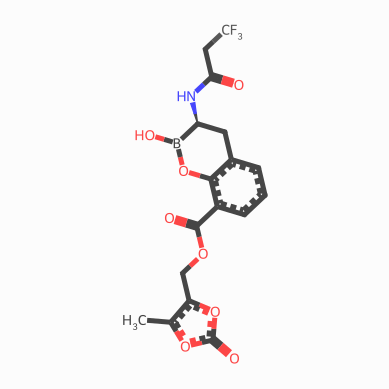 Cc1oc(=O)oc1COC(=O)c1cccc2c1OB(O)[C@@H](NC(=O)CC(F)(F)F)C2